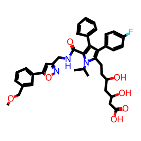 COCc1cccc(-c2cc(CNC(=O)c3c(-c4ccccc4)c(-c4ccc(F)cc4)c(CCC(O)CC(O)CC(=O)O)n3C(C)C)no2)c1